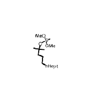 CCCCCCCCCCC(C)(C)O[Si](C)(OC)OC